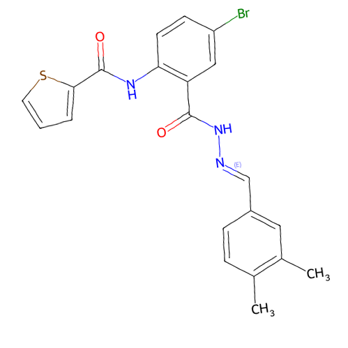 Cc1ccc(/C=N/NC(=O)c2cc(Br)ccc2NC(=O)c2cccs2)cc1C